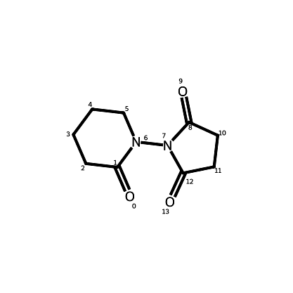 O=C1CCCCN1N1C(=O)CCC1=O